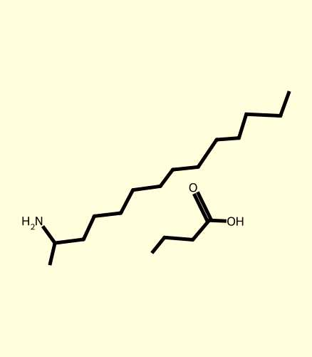 CCCC(=O)O.CCCCCCCCCCCCC(C)N